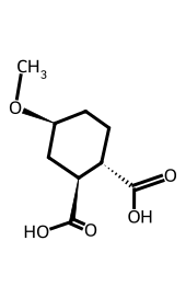 CO[C@H]1CC[C@H](C(=O)O)[C@@H](C(=O)O)C1